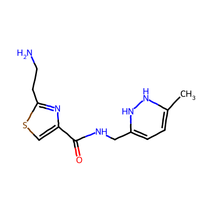 CC1=CC=C(CNC(=O)c2csc(CCN)n2)NN1